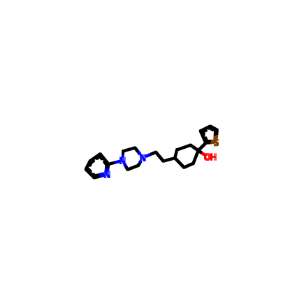 OC1(c2cccs2)CCC(CCN2CCN(c3ccccn3)CC2)CC1